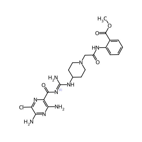 COC(=O)c1ccccc1NC(=O)CN1CCC(N/C(N)=N/C(=O)c2nc(Cl)c(N)nc2N)CC1